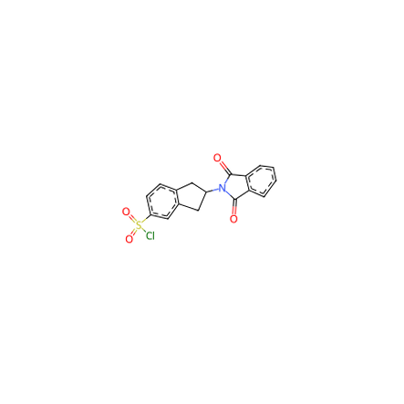 O=C1c2ccccc2C(=O)N1C1Cc2ccc(S(=O)(=O)Cl)cc2C1